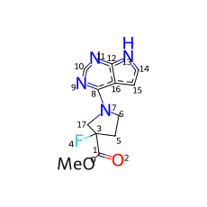 COC(=O)C1(F)CCN(c2ncnc3[nH]ccc23)C1